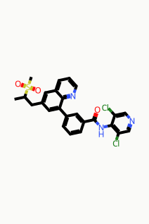 CC(Cc1cc(-c2cccc(C(=O)Nc3c(Cl)cncc3Cl)c2)c2ncccc2c1)S(C)(=O)=O